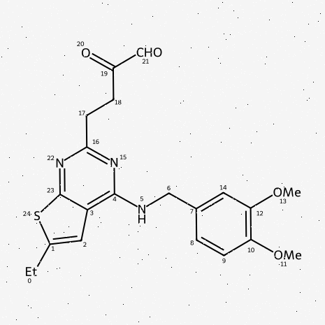 CCc1cc2c(NCc3ccc(OC)c(OC)c3)nc(CCC(=O)C=O)nc2s1